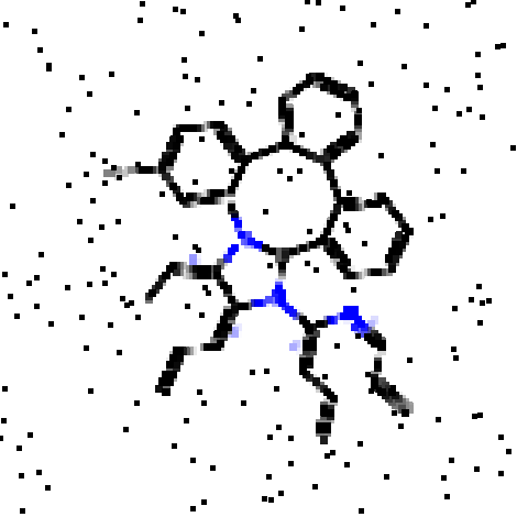 C=C/C=N\C(=C/C=C)N1B2c3ccccc3-c3ccccc3-c3ccc(CC)cc3N2C(=C/C)/C1=C\C=C